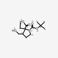 CCC1(C(=O)O)C(CO)CCN1C(=O)OC(C)(C)C